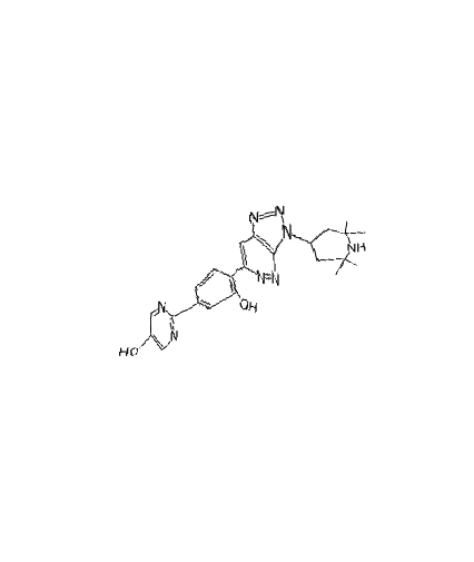 CC1(C)CC(n2nnc3cc(-c4ccc(-c5ncc(O)cn5)cc4O)nnc32)CC(C)(C)N1